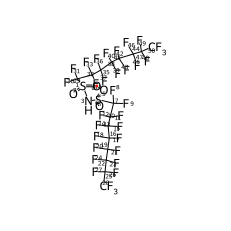 O=S(=O)(NS(=O)(=O)C(F)(F)C(F)(F)C(F)(F)C(F)(F)C(F)(F)C(F)(F)C(F)(F)C(F)(F)F)C(F)(F)C(F)(F)C(F)(F)C(F)(F)C(F)(F)C(F)(F)C(F)(F)C(F)(F)F